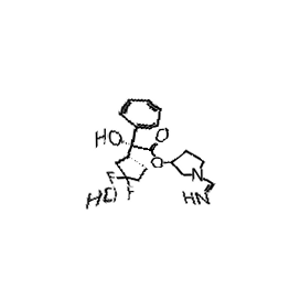 Cl.N=CN1CC[C@H](OC(=O)[C@](O)(c2ccccc2)[C@@H]2CCC(F)(F)C2)C1